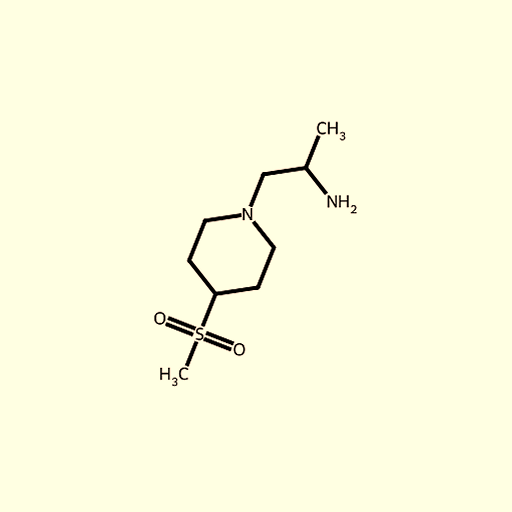 CC(N)CN1CCC(S(C)(=O)=O)CC1